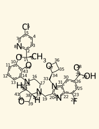 C[C@]1(c2ccc(Cl)cn2)Oc2cccc(N3CCN(Cc4nc5c(F)cc(C(=O)O)cc5n4C[C@@H]4CCO4)[C@@H]4COC[C@@H]43)c2O1